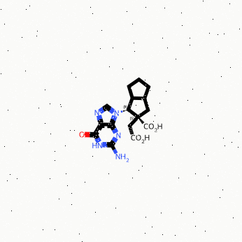 Nc1nc2c(ncn2[C@@H]2C3CCCC3C[C@@]2(CC(=O)O)C(=O)O)c(=O)[nH]1